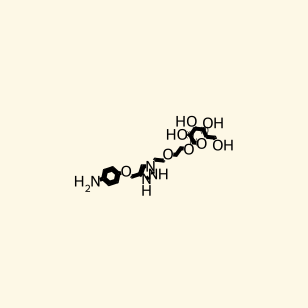 Nc1ccc(OCC2=CN(CCOCCO[C@@H]3OC(CO)[C@H](O)C(O)[C@@H]3O)NN2)cc1